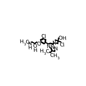 CNCC(O)COc1cc(Cl)cc(-c2cc(N3CC(CO)(CCl)C3)n3ncc(C(C)C)c3n2)c1